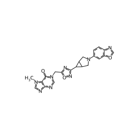 Cn1cnc2ncn(Cc3nc(C4C5CN(c6ccc7ncoc7c6)CC54)no3)c(=O)c21